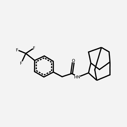 O=C(Cc1ccc(C(F)(F)F)cc1)NC1C2CC3CC(C2)CC1C3